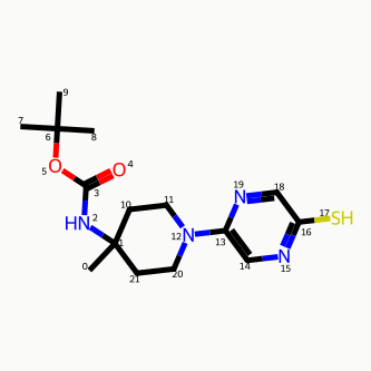 CC1(NC(=O)OC(C)(C)C)CCN(c2cnc(S)cn2)CC1